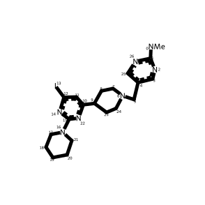 CNc1ncc(CN2CCC(c3cc(I)nc(N4CCCCC4)n3)CC2)cn1